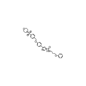 O=C(NCCCOc1ccccc1)n1cnc(-c2ccc(OCc3ccc(S(=O)(=O)N4CCOCC4)cc3)cc2)c1